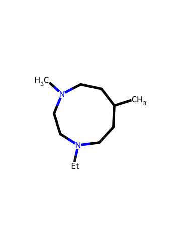 CCN1CCC(C)CCN(C)CC1